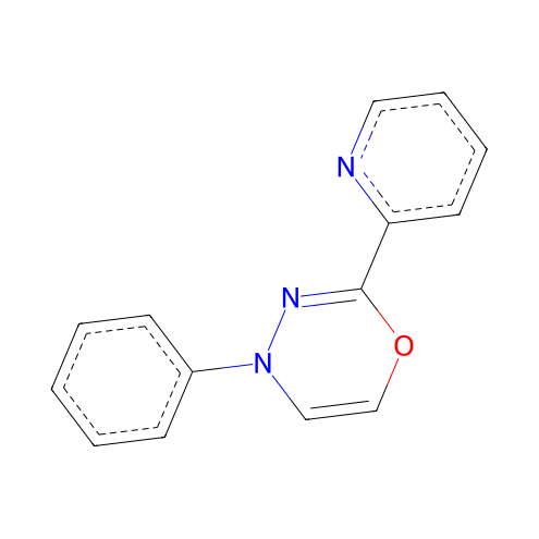 C1=CN(c2ccccc2)N=C(c2ccccn2)O1